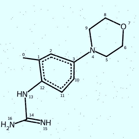 Cc1cc(N2CCOCC2)ccc1NC(=N)N